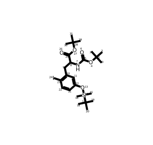 CC(C)(C)OC(=O)NC(Cc1cc(O[Si](C)(C)C(C)(C)C)ccc1I)C(=O)OC(C)(C)C